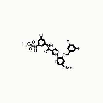 COc1cnc(-n2cc(C(=O)Nc3cc(Cl)cc(NS(C)(=O)=O)c3)cn2)c(OCc2cc(F)cc(F)c2)c1